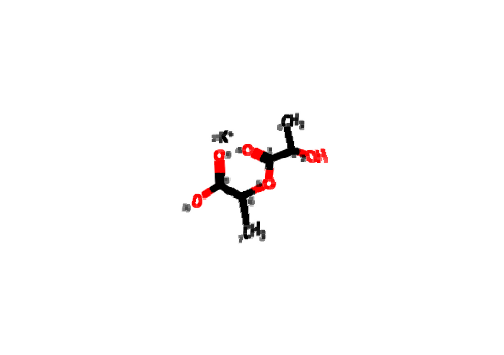 CC(O)C(=O)OC(C)C(=O)[O-].[K+]